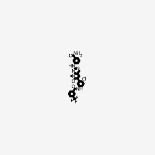 Cn1c(=O)c(-c2cc(NC(=O)c3cccc(C(F)(F)F)c3)ccc2Cl)cc2cnc(Nc3cccc(C(N)=O)c3)nc21